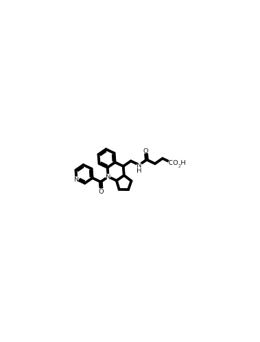 O=C(O)CCC(=O)NCC1c2ccccc2N(C(=O)c2cccnc2)C2CCCC12